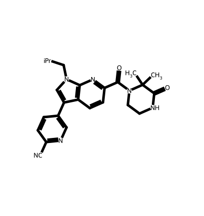 CC(C)Cn1cc(-c2ccc(C#N)nc2)c2ccc(C(=O)N3CCNC(=O)C3(C)C)nc21